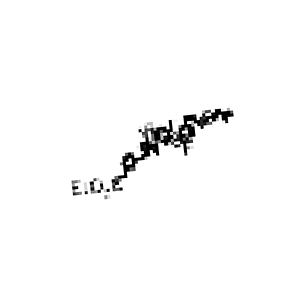 CCOC(=O)CCc1cccc(Cc2cc(N)n(-c3cc(Oc4c(F)cc5c(ccn5COCC[Si](C)(C)C)c4F)ccc3F)n2)c1